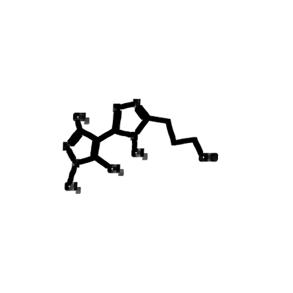 Cc1nn(C)c(C)c1-c1nnc(CCCC=O)n1C